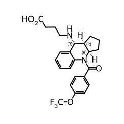 O=C(O)CCCN[C@H]1c2ccccc2N(C(=O)c2ccc(OC(F)(F)F)cc2)[C@@H]2CCC[C@@H]21